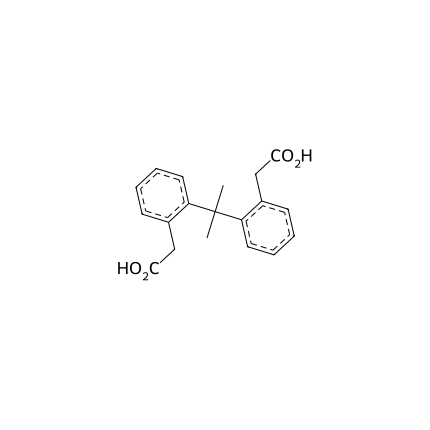 CC(C)(c1ccccc1CC(=O)O)c1ccccc1CC(=O)O